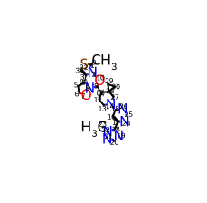 Cc1nc([C@@H]2CCON2C(=O)[C@@H]2CCN(c3cc(-c4ncnn4C)ncn3)CC23CC3)cs1